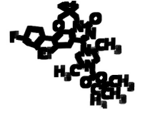 C[C@@H]1CN(c2nc(=O)n3c4c(c(-c5ccc(F)cc5F)c(Cl)cc24)OCC2(COC2)C3)[C@@H](C)CN1C(=O)OC(C)(C)C